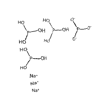 OP(O)O.OP(O)O.OP(O)O.[Na+].[Na+].[Na+].[O-]P([O-])[O-]